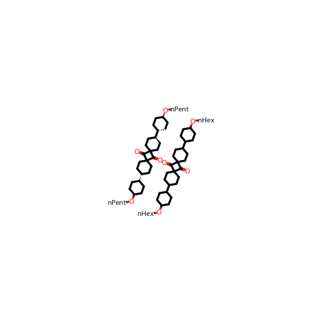 CCCCCCOC1CCC(C2CCC3(CC2)C(=O)C2(CCC(C4CCC(OCCCCCC)CC4)CC2)C3=O)CC1.CCCCCOC1CCC([C@H]2CCC3(CC2)C(=O)C2(CC[C@H]([C@H]4CC[C@H](OCCCCC)CC4)CC2)C3=O)CC1